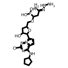 NN/N=C(\N)CC(OCC1CC(O)C(c2ccc3c(NC4CCCC4)nc(Cl)nn23)O1)P(O)O